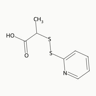 CC(SSc1ccccn1)C(=O)O